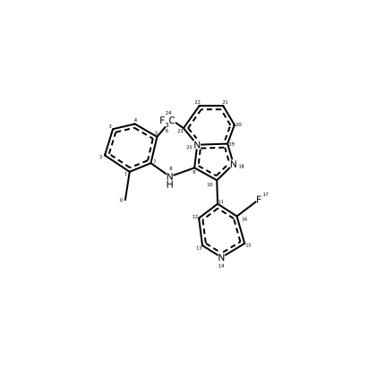 Cc1cccc(C)c1Nc1c(-c2ccncc2F)nc2cccc(C(F)(F)F)n12